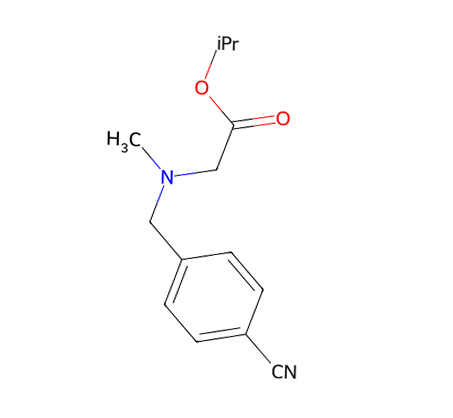 CC(C)OC(=O)CN(C)Cc1ccc(C#N)cc1